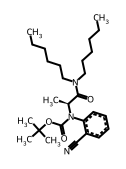 CCCCCCN(CCCCCC)C(=O)[C@H](C)N(C(=O)OC(C)(C)C)c1ccccc1C#N